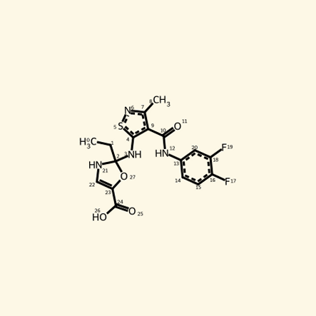 CCC1(Nc2snc(C)c2C(=O)Nc2ccc(F)c(F)c2)NC=C(C(=O)O)O1